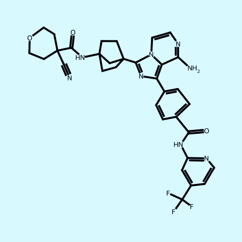 N#CC1(C(=O)NC23CCC(c4nc(-c5ccc(C(=O)Nc6cc(C(F)(F)F)ccn6)cc5)c5c(N)nccn45)(CC2)C3)CCOCC1